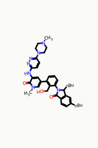 CCCCc1ccc2c(c1)C(CCCC)N(c1cccc(-c3cc(Nc4ccc(N5CCN(C)CC5)nn4)c(=O)n(C)c3)c1CO)C2=O